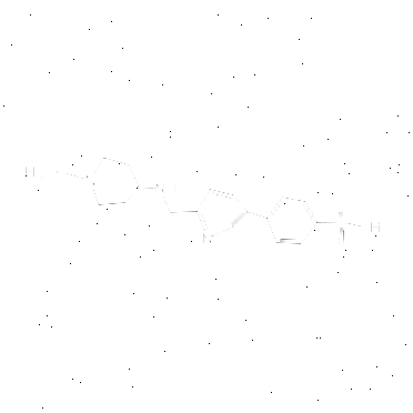 CS(=O)(=O)c1ccc(-c2ccc(CNC3CCN(C(=O)O)CC3)nc2)cc1